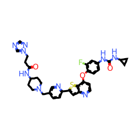 O=C(CCn1cncn1)NC1CCN(Cc2ccc(-c3cc4nccc(Oc5ccc(NC(=O)NC6CC6)cc5F)c4s3)nc2)CC1